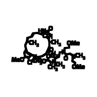 COCCN(C)CC(=O)N(CCOC)CCC(=O)N(C)[C@@H](C)C(=O)O[C@H]1CC(=O)N(C)c2cc(cc(OC)c2Cl)C/C(C)=C/C=C/C[C@@]2(O)C[C@H](OC(=O)N2)[C@@H](C)C2O[C@]21C